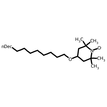 CCCCCCCCCCCCCCCCCCOC1CC(C)(C)N([O])C(C)(C)C1